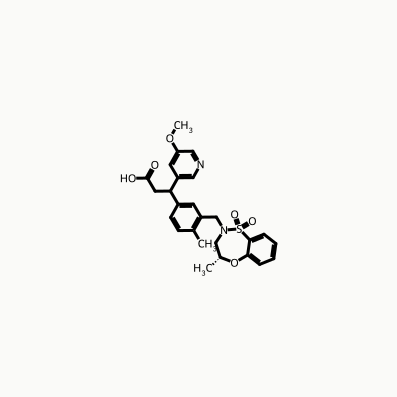 COc1cncc(C(CC(=O)O)c2ccc(C)c(CN3C[C@@H](C)Oc4ccccc4S3(=O)=O)c2)c1